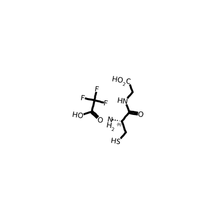 N[C@@H](CS)C(=O)NCC(=O)O.O=C(O)C(F)(F)F